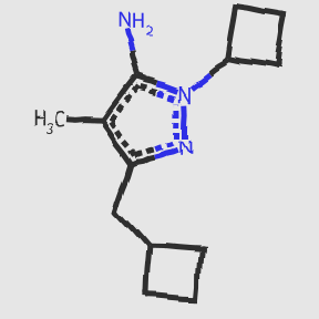 Cc1c(CC2CCC2)nn(C2CCC2)c1N